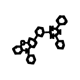 c1ccc(-c2nc(-c3ccccc3)nc(-c3cccc(-c4ccc5c(c4)Oc4ccccc4N5c4ccccc4)c3)n2)cc1